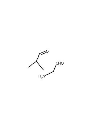 CC(C)C=O.NCC=O